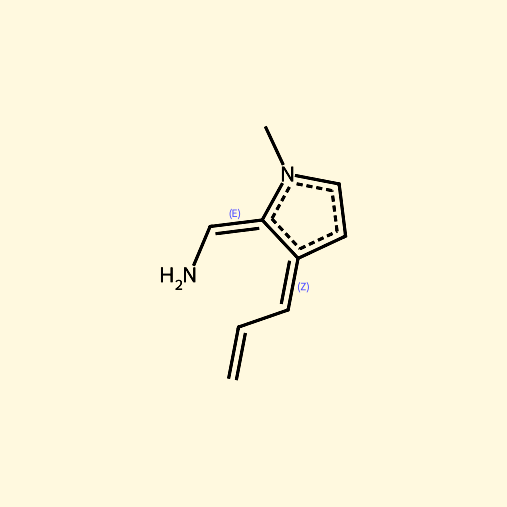 C=C/C=c1/ccn(C)/c1=C/N